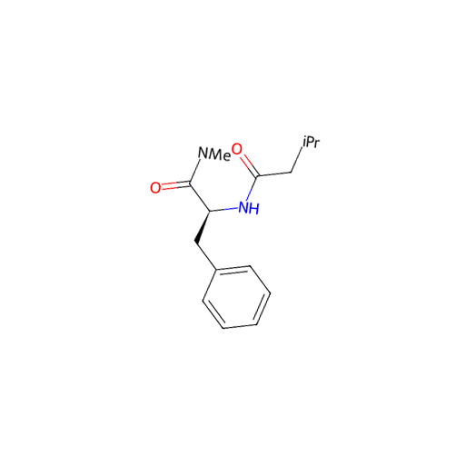 CNC(=O)[C@H](Cc1ccccc1)NC(=O)CC(C)C